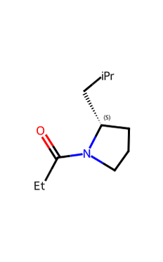 CCC(=O)N1CCC[C@H]1CC(C)C